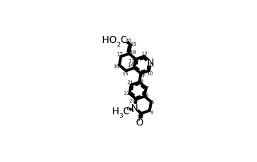 CN1C(=O)CCc2cc(-c3cncc4c3CCCC4=CC(=O)O)ccc21